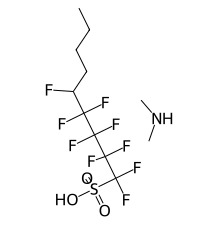 CCCCC(F)C(F)(F)C(F)(F)C(F)(F)C(F)(F)S(=O)(=O)O.CNC